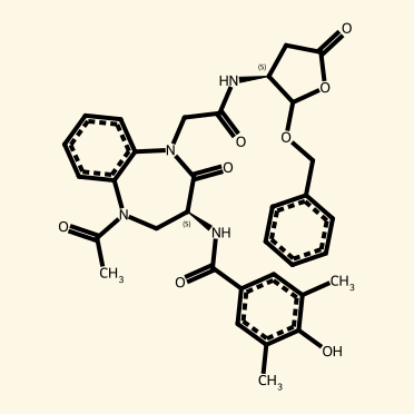 CC(=O)N1C[C@H](NC(=O)c2cc(C)c(O)c(C)c2)C(=O)N(CC(=O)N[C@H]2CC(=O)OC2OCc2ccccc2)c2ccccc21